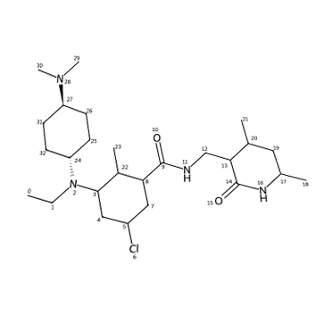 CCN(C1CC(Cl)CC(C(=O)NCC2C(=O)NC(C)CC2C)C1C)[C@H]1CC[C@H](N(C)C)CC1